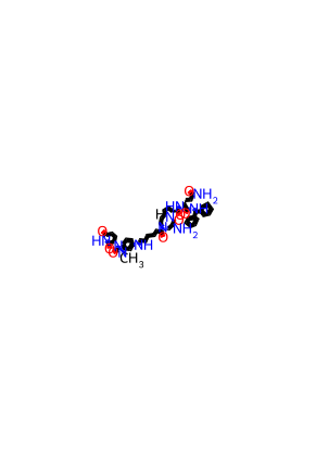 Cn1c(=O)n(C2CCC(=O)NC2=O)c2ccc(NCCCCCC(=O)N3CC[C@H]4CC[C@@H](C(=O)N[C@@H](CCC(N)=O)C(=O)NC(c5ccccc5)c5ccccc5)N4C(=O)[C@@H](N)C3)cc21